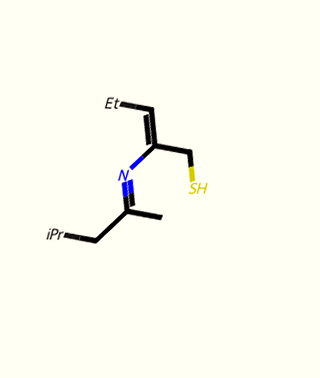 CC/C=C(CS)\N=C(/C)CC(C)C